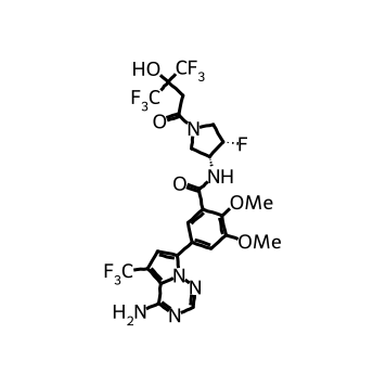 COc1cc(-c2cc(C(F)(F)F)c3c(N)ncnn23)cc(C(=O)N[C@@H]2CN(C(=O)CC(O)(C(F)(F)F)C(F)(F)F)C[C@@H]2F)c1OC